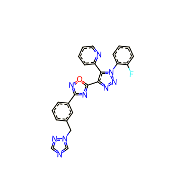 Fc1ccccc1-n1nnc(-c2nc(-c3cccc(Cn4cncn4)c3)no2)c1-c1ccccn1